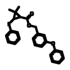 CC1(C)C(Sc2ccccc2)C1C(=O)OCc1cccc(Oc2ccccc2)c1